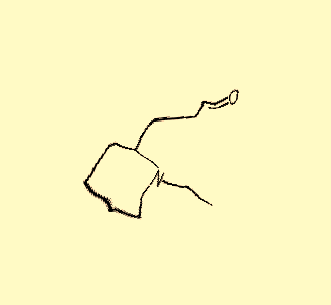 CCN1CCCCC1CCC=O